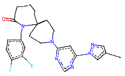 Cc1cnn(-c2cc(N3CCC4(CCCC(=O)N4c4ccc(F)c(F)c4)CC3)ncn2)c1